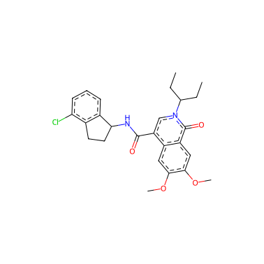 CCC(CC)n1cc(C(=O)NC2CCc3c(Cl)cccc32)c2cc(OC)c(OC)cc2c1=O